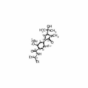 CCCCOc1cc(-n2nc(C(C)(C)O)n(C)c2=O)c(F)cc1C(=O)NC(CC)CC